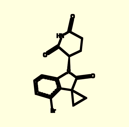 O=C1CC[C@@H](N2C(=O)C3(CC3)c3c(Br)cccc32)C(=O)N1